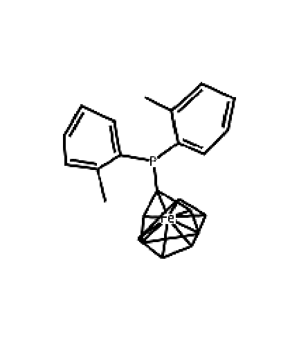 Cc1ccccc1P(c1ccccc1C)[C]12[CH]3[CH]4[CH]5[CH]1[Fe]45321678[CH]2[CH]1[CH]6[CH]7[CH]28